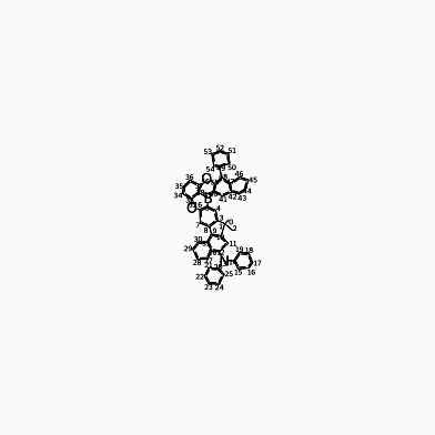 CC1(C)c2cc3c(cc2-c2c1cc(N(c1ccccc1)c1ccccc1)c1ccccc21)Oc1cccc2c1B3c1cc3ccccc3c(-c3ccccc3)c1O2